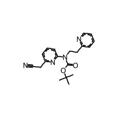 CC(C)(C)OC(=O)N(CCc1ccccn1)c1cccc(CC#N)n1